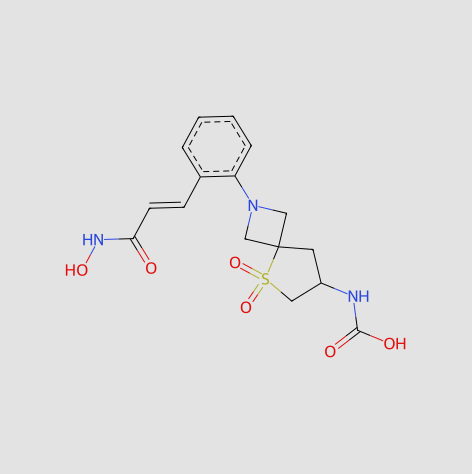 O=C(O)NC1CC2(CN(c3ccccc3C=CC(=O)NO)C2)S(=O)(=O)C1